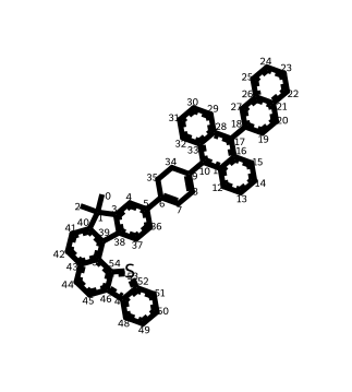 CC1(C)c2cc(C3=CC=C(c4c5ccccc5c(-c5ccc6ccccc6c5)c5ccccc45)CC3)ccc2-c2c1ccc1ccc3c4ccccc4sc3c21